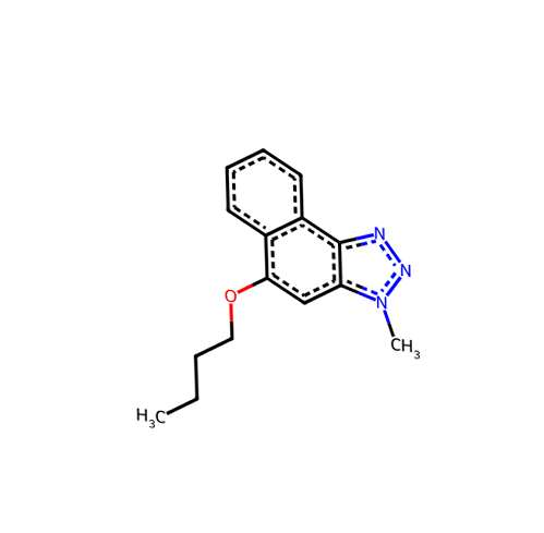 CCCCOc1cc2c(nnn2C)c2ccccc12